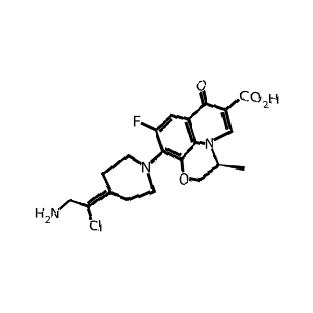 C[C@H]1COc2c(N3CCC(=C(Cl)CN)CC3)c(F)cc3c(=O)c(C(=O)O)cn1c23